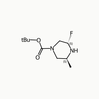 C[C@H]1CN(C(=O)OC(C)(C)C)C[C@H](F)N1